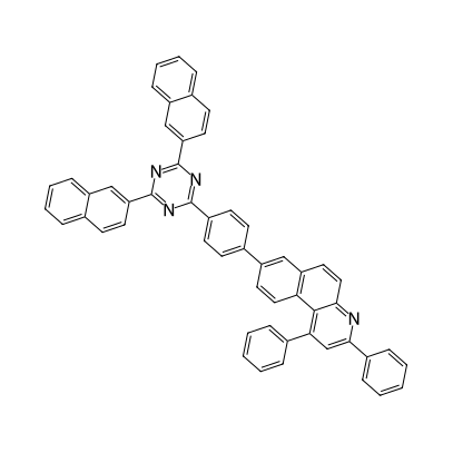 c1ccc(-c2cc(-c3ccccc3)c3c(ccc4cc(-c5ccc(-c6nc(-c7ccc8ccccc8c7)nc(-c7ccc8ccccc8c7)n6)cc5)ccc43)n2)cc1